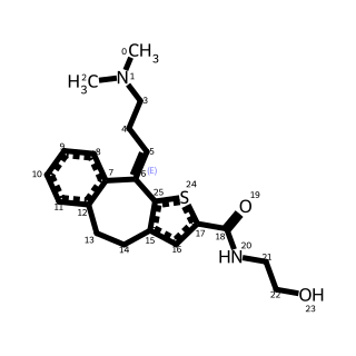 CN(C)CC/C=C1\c2ccccc2CCc2cc(C(=O)NCCO)sc21